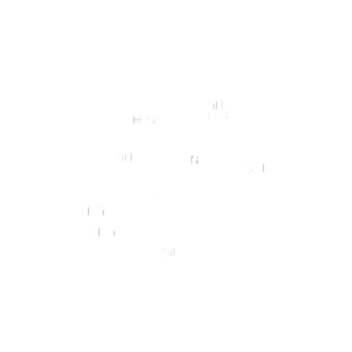 [SiH3]C([SiH3])C1(C([SiH3])[SiH3])CC[N+](C([SiH3])[SiH3])(C([SiH3])[SiH3])C1